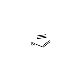 C#C.C=CBr